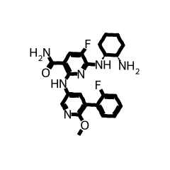 COc1ncc(Nc2nc(N[C@@H]3CCCC[C@@H]3N)c(F)cc2C(N)=O)cc1-c1ccccc1F